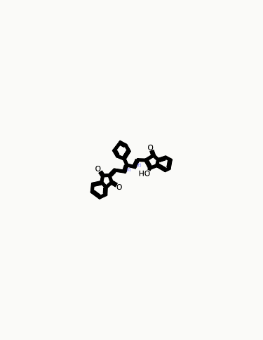 O=C1C(=C/C=C(/C=C/C2=C(O)c3ccccc3C2=O)c2ccccc2)C(=O)c2ccccc21